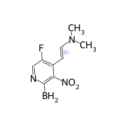 Bc1ncc(F)c(/C=C/N(C)C)c1[N+](=O)[O-]